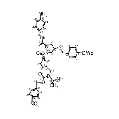 COc1ccc(CS[C@H]2C[C@@H](C(=O)N3CC[C@H](CN(C(C)=N)C(=O)OCc4ccc([N+](=O)[O-])cc4)C3)N(C(=O)OCc3ccc([N+](=O)[O-])cc3)C2)cc1